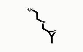 CC1OC1CNCCN